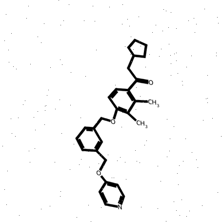 Cc1c(OCc2cccc(COc3ccncc3)c2)ccc(C(=O)CC2CCCC2)c1C